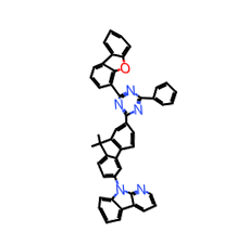 CC1(C)c2ccc(-n3c4ccccc4c4cccnc43)cc2-c2ccc(-c3nc(-c4ccccc4)nc(-c4cccc5c4oc4ccccc45)n3)cc21